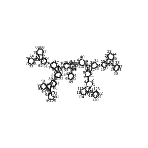 C1=CC2C(C=C1c1ccc3c(c1)c1cc(-c4ccc5c(c4)c4ccccc4n5-c4ccccc4)ccc1n3-c1cccc(-c3nc(-c4ccccc4)c4cc(-n5c6ccc(-c7ccc8c(c7)c7ccccc7n8-c7ccccc7)cc6c6cc(-c7ccc8c(c7)c7ccccc7n8-c7ccccc7)ccc65)ccc4n3)c1)c1ccccc1N2c1ccccc1